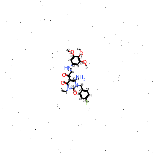 CCn1c(=O)c(C(=O)CNc2cc(OC)c(OC)c(OC)c2)c(N)n(Cc2ccc(F)cc2)c1=O